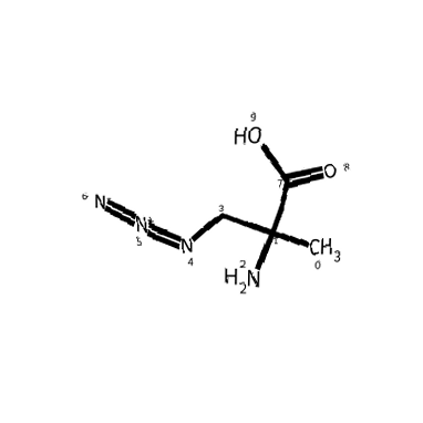 CC(N)(CN=[N+]=[N-])C(=O)O